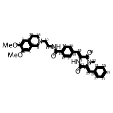 COc1cc2c(cc1OC)CN(CCNC(=O)c1ccc(/C=c3\[nH]c(=O)/c(=C/c4ccccc4)n(C)c3=O)cc1)CC2